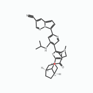 CC(C)Nc1cc(-c2ccc3cc(C#N)cnn23)ncc1-c1nnc(N2C[C@H]3CC[C@@H](C2)C3NC(=O)C2CN(C)C2)s1